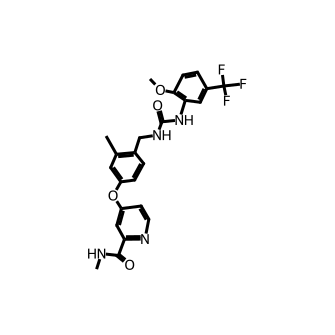 CNC(=O)c1cc(Oc2ccc(CNC(=O)Nc3cc(C(F)(F)F)ccc3OC)c(C)c2)ccn1